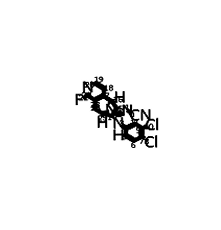 N#CN=C(Nc1ccc(Cl)c(Cl)c1)N1[C@H]2CC[C@@H]1c1ccnc(F)c1C2